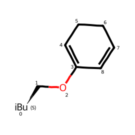 CC[C@H](C)COC1=CCCC=C1